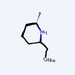 COCC1CCC[C@H](C)N1